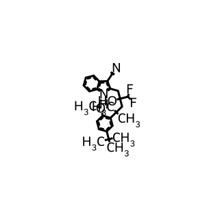 COc1ccc(C(C)(C)C)cc1C(C)(C)CC(O)(Cc1[nH]c2ccccc2c1C#N)C(F)F